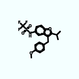 COc1ccc(Cc2c(C(C)C)oc3ccc(NS(=O)(=O)C(F)(F)F)cc23)cc1